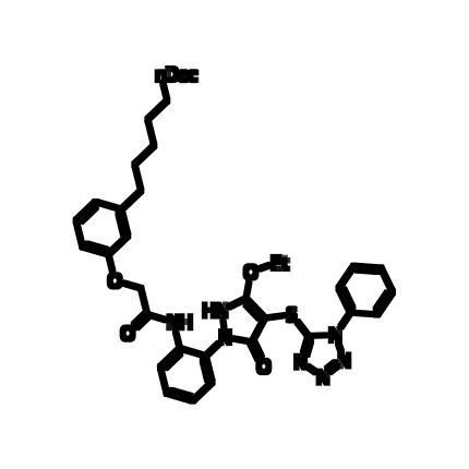 CCCCCCCCCCCCCCCc1cccc(OCC(=O)Nc2ccccc2-n2[nH]c(OCC)c(Sc3nnnn3-c3ccccc3)c2=O)c1